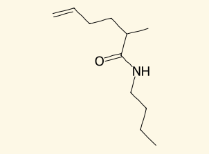 C=CCCC(C)C(=O)NCCCC